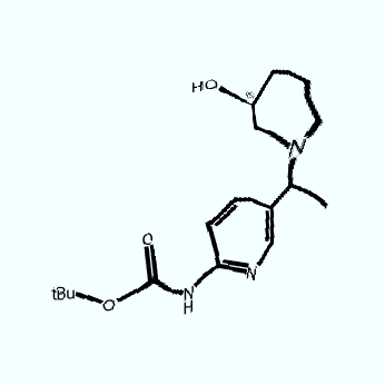 CC(c1ccc(NC(=O)OC(C)(C)C)nc1)N1CCC[C@H](O)C1